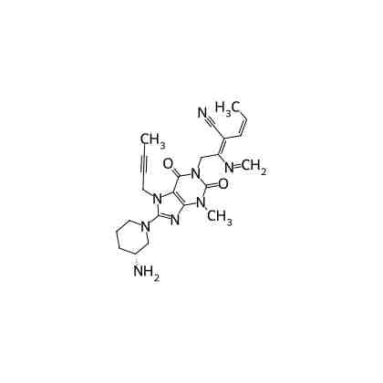 C=N/C(Cn1c(=O)c2c(nc(N3CCC[C@@H](N)C3)n2CC#CC)n(C)c1=O)=C(C#N)\C=C/C